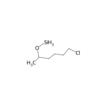 CC(CCCCCl)O[SiH3]